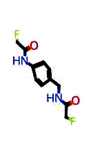 O=C(CF)NCc1ccc(NC(=O)CF)cc1